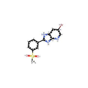 CS(=O)(=O)c1cccc(-c2nc3ncc(Br)cc3[nH]2)c1